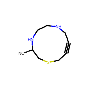 N#CC1CSCC#CCNCCN1